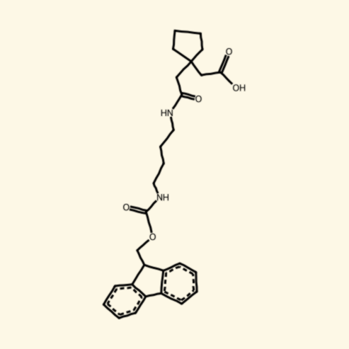 O=C(O)CC1(CC(=O)NCCCCNC(=O)OCC2c3ccccc3-c3ccccc32)CCCC1